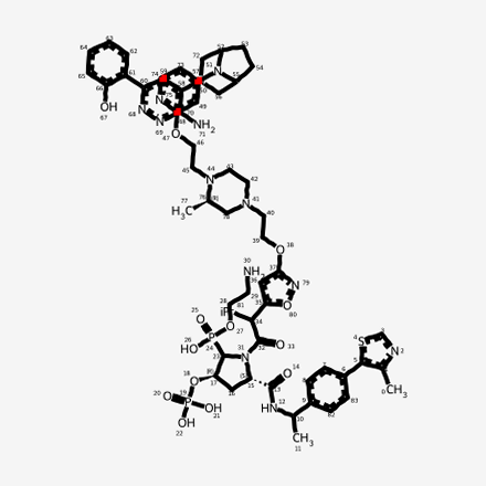 Cc1ncsc1-c1ccc(C(C)NC(=O)[C@@H]2C[C@@H](OP(=O)(O)O)C(P(=O)(O)OCCN)N2C(=O)C(c2cc(OCCN3CCN(CCOc4cc(N5C6CCC5CN(c5cc(-c7ccccc7O)nnc5N)C6)ccn4)[C@H](C)C3)no2)C(C)C)cc1